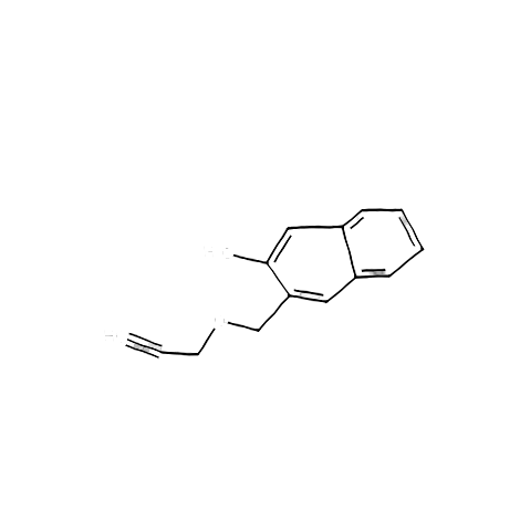 C#CCOCc1cc2ccccc2cc1C